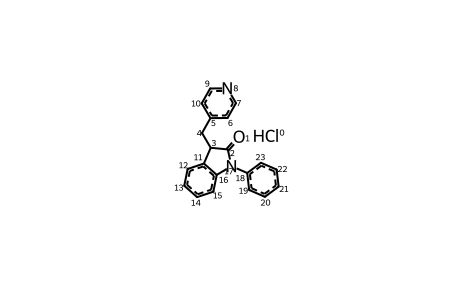 Cl.O=C1C(Cc2ccncc2)c2ccccc2N1c1ccccc1